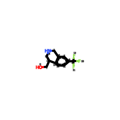 OCC1CNCc2cc(C(F)(F)F)ccc21